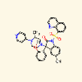 CCOc1ccccc1C1(N2CCN(c3ccncc3)C(C)C2)C(=O)N(S(=O)(=O)c2cccc3cccnc23)c2ccc(C#N)cc21